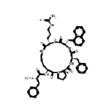 CC(=O)N[C@@H](Cc1ccccc1)C(=O)N[C@H]1CCCNC(=O)[C@H](CCCNC(=N)N)NC(=O)[C@H](Cc2cccc3ccccc23)NC(=O)[C@@H](Cc2ccccc2)NC(=O)[C@@H]2CCCN2C1=O